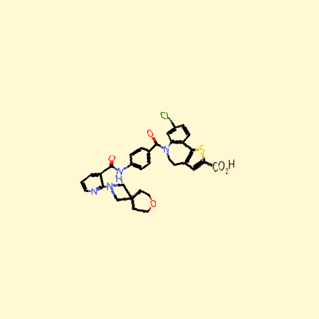 O=C(O)c1cc2c(s1)-c1ccc(Cl)cc1N(C(=O)c1ccc(NC(=O)c3cccnc3N3CC4(CCOCC4)C3)cc1)CC2